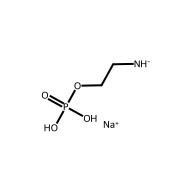 [NH-]CCOP(=O)(O)O.[Na+]